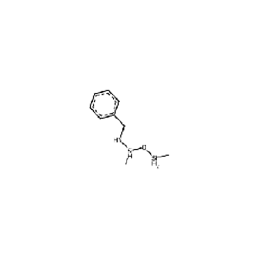 C[SiH2]O[SiH](C)NCc1ccccc1